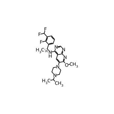 COc1nc2ncnc(N[C@H](C)c3cccc(C(F)F)c3F)c2cc1N1CCN(C(C)C)CC1